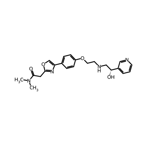 CN(C)C(=O)Cc1nc(-c2ccc(OCCNC[C@@H](O)c3cccnc3)cc2)co1